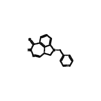 O=C1NN=CC2CN(Cc3ccccc3)c3cccc1c32